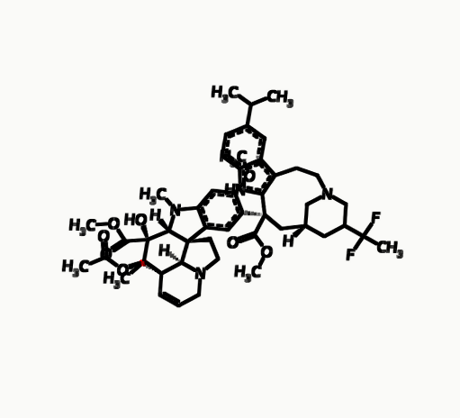 CC[C@]12C=CCN3CC[C@@]4(c5cc([C@@]6(C(=O)OC)C[C@H]7CC(C(C)(F)F)CN(CCc8c6[nH]c6ccc(C(C)C)cc86)C7)c(OC)cc5N(C)[C@H]4[C@@](O)(C(=O)OC)[C@@H]1OC(C)=O)[C@@H]32